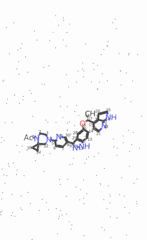 CC(=O)N1CCN(c2ccc(-c3n[nH]c4ccc(O[C@H](C)c5ccnc6[nH]ccc56)cc34)cn2)CC12CC2